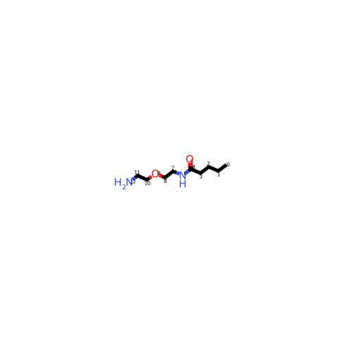 CCCCC(=O)NCCOCCN